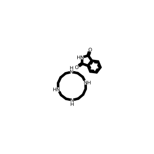 C1CNCCNCCCNCCNC1.O=C1NC(=O)c2ccccc21